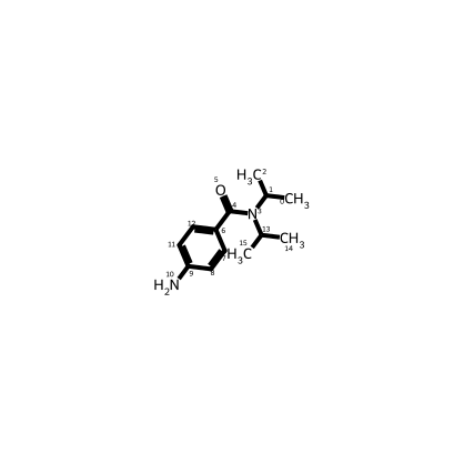 CC(C)N(C(=O)c1ccc(N)cc1)C(C)C